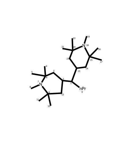 C[CH]CC(C1CC(C)(C)N(C)C(C)(C)C1)C1CC(C)(C)N(C)C(C)(C)C1